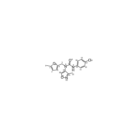 Cc1ccc(CN(C(=O)Nc2ccc(Cl)cc2)c2conc2C)o1